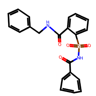 O=C(NS(=O)(=O)c1ccccc1C(=O)NCc1ccccc1)c1ccccc1